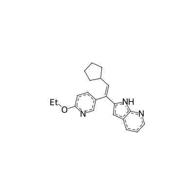 CCOc1ccc(/C(=C\C2CCCC2)c2cc3cccnc3[nH]2)cn1